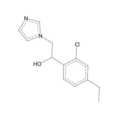 CCc1ccc(C(O)Cn2ccnc2)c(Cl)c1